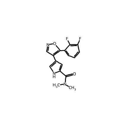 CN(C)C(=O)c1cc(-c2cnoc2-c2cccc(F)c2F)c[nH]1